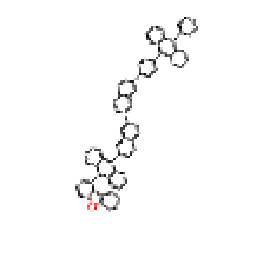 c1ccc(-c2c3ccccc3c(-c3ccc(-c4ccc5ccc(-c6ccc7ccc(-c8c9ccccc9c(-c9cccc%10oc%11ccccc%11c9%10)c9ccccc89)cc7c6)cc5c4)cc3)c3ccccc23)cc1